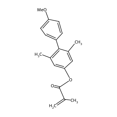 C=C(C)C(=O)Oc1cc(C)c(-c2ccc(OC)cc2)c(C)c1